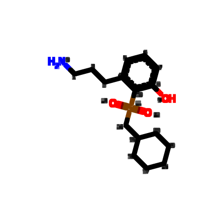 NCCCc1cccc(O)c1S(=O)(=O)CC1CCCCC1